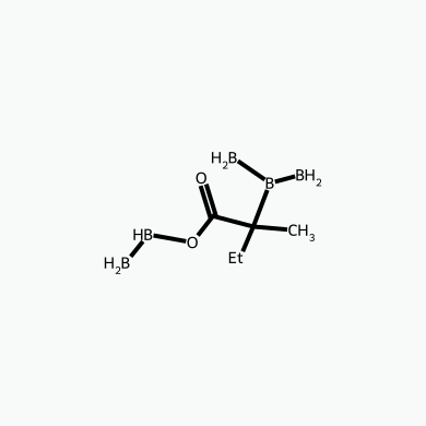 BBOC(=O)C(C)(CC)B(B)B